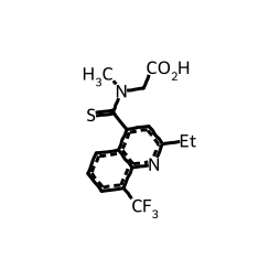 CCc1cc(C(=S)N(C)CC(=O)O)c2cccc(C(F)(F)F)c2n1